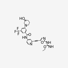 CCOC(=N)Nc1ncc(C#Cc2cc(NC(=O)c3cc(N4CCC[C@H](O)C4)cc(C(F)(F)F)c3)ccn2)o1